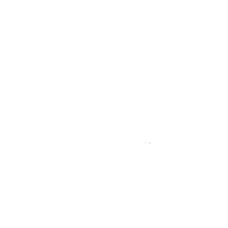 COc1ccc(OBOc2ccc(OC)c(C)c2)cc1C